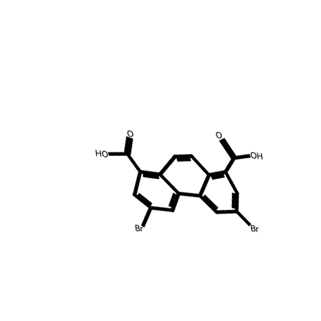 O=C(O)c1cc(Br)cc2c1ccc1c(C(=O)O)cc(Br)cc12